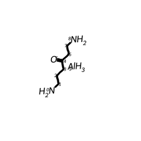 NCCCC(=O)CCN.[AlH3]